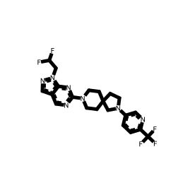 FC(F)Cn1ncc2cnc(N3CCC4(CCN(c5ccc(C(F)(F)F)nc5)C4)CC3)nc21